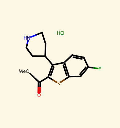 COC(=O)c1sc2cc(F)ccc2c1C1CCNCC1.Cl